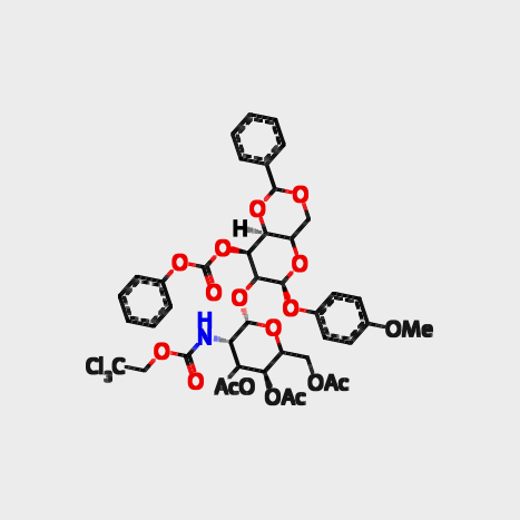 COc1ccc(O[C@@H]2OC3COC(c4ccccc4)O[C@@H]3[C@H](OC(=O)Oc3ccccc3)C2O[C@@H]2OC(COC(C)=O)[C@@H](OC(C)=O)C(OC(C)=O)[C@@H]2NC(=O)OCC(Cl)(Cl)Cl)cc1